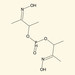 CC(=NO)C(C)O[PH](=O)OC(C)C(C)=NO